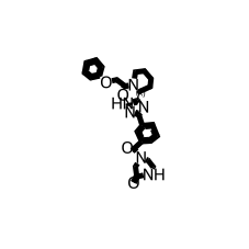 O=C1CN(C(=O)c2cccc(-c3n[nH]c([C@H]4CCCCN4C(=O)COc4ccccc4)n3)c2)CCN1